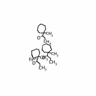 CCC([O-])C1(C)CCCCCC1.CCC([O-])C1(C)CCCCCC1.CCC([O-])C1(C)CCCCCC1.[Fe+3]